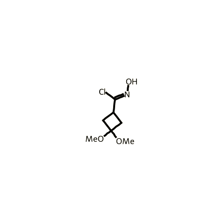 COC1(OC)CC(C(Cl)=NO)C1